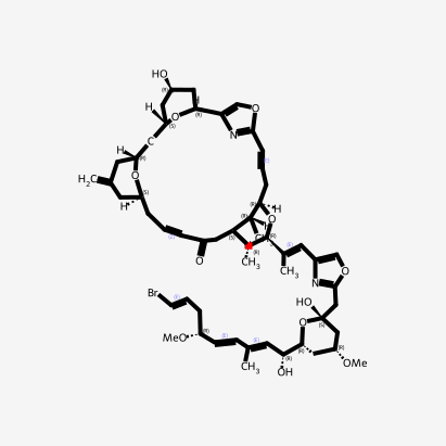 C=C1C[C@@H]2C[C@@H]3C[C@@H](O)C[C@@H](O3)c3coc(n3)/C=C/C[C@H]3O[C@@H](/C(C)=C/c4coc(C[C@]5(O)C[C@H](OC)C[C@H]([C@H](O)/C=C(C)/C=C/[C@@H](C/C=C/Br)OC)O5)n4)[C@H](C)[C@@H](CC(=O)/C=C\C[C@@H](C1)O2)[C@H]3C